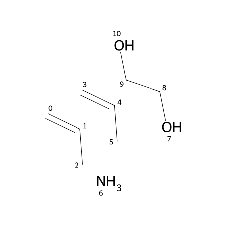 C=CC.C=CC.N.OCCO